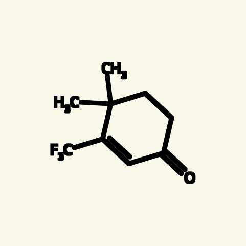 CC1(C)CCC(=O)C=C1C(F)(F)F